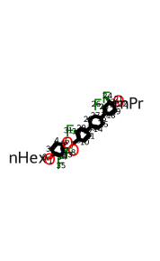 CCCCCCOc1ccc(OC(=O)c2ccc(C3=CCC(c4ccc(OCCC)c(F)c4F)CC3)cc2F)c(F)c1F